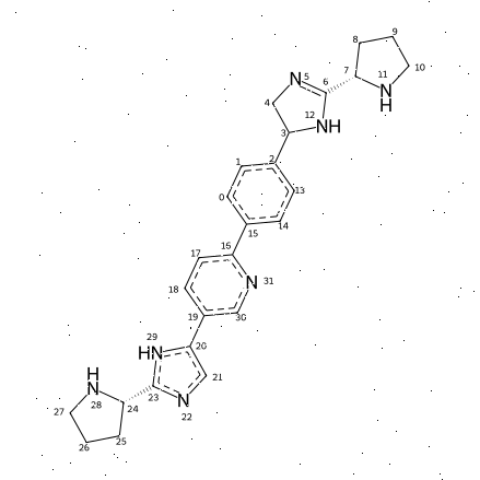 c1cc(C2CN=C([C@@H]3CCCN3)N2)ccc1-c1ccc(-c2cnc([C@@H]3CCCN3)[nH]2)cn1